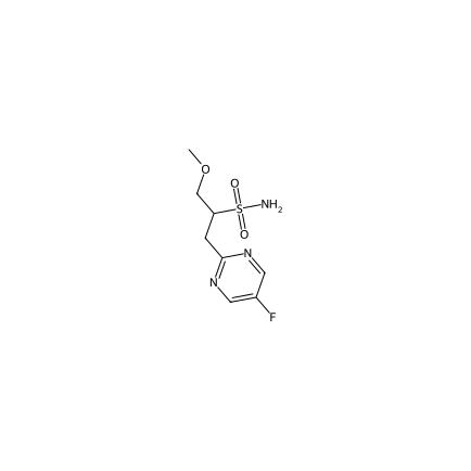 COCC(Cc1ncc(F)cn1)S(N)(=O)=O